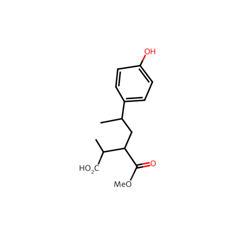 COC(=O)C(CC(C)c1ccc(O)cc1)C(C)C(=O)O